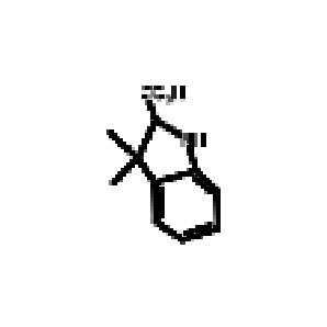 CC1(C)c2ccccc2NC1C(=O)O